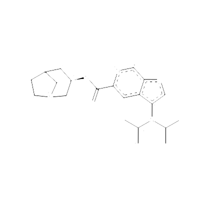 CC(C)N(c1coc2cnc(C(=O)N[C@@H]3CC4CCN(C4)C3)cc12)C(C)C